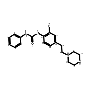 O=C(Nc1ccccc1)Oc1ccc(CCN2CCOCC2)cc1F